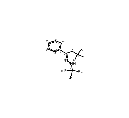 CC(C)(C)C/C(=N\NC(F)(F)F)c1ccccc1